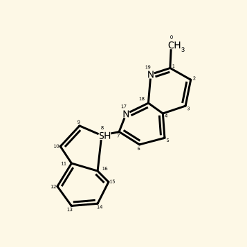 Cc1ccc2ccc([SH]3C=Cc4ccccc43)nc2n1